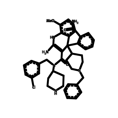 COc1cccc2c1NC(N)=C(C(=O)N(Cc1cccc(Cl)c1)C1CCNCC1)C2(c1ccccc1C(N)=O)C1CCN(Cc2ccccc2)CC1